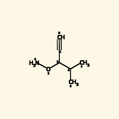 C#CC(ON)C(C)C